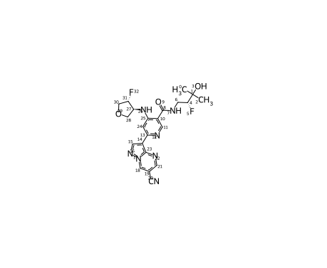 CC(C)(O)[C@H](F)CNC(=O)c1cnc(-c2cnn3cc(C#N)cnc23)cc1N[C@H]1COC[C@@H]1F